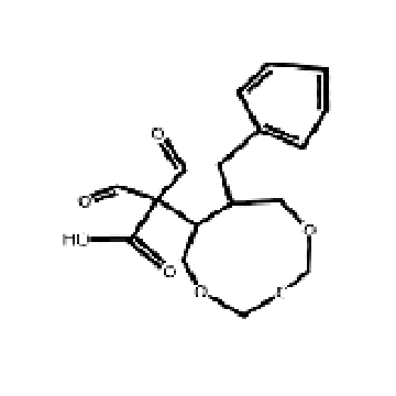 O=CC(C=O)(C(=O)O)C1COCCCOCC1Cc1ccccc1